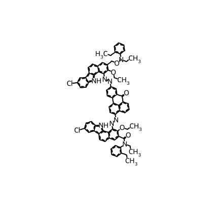 CCOc1c(CON(CC)c2ccccc2CC)cc2ccc3c4cc(Cl)ccc4[nH]c3c2c1N=Nc1ccc2c(c1)C(=O)c1cccc3c(N=Nc4c(OCC)c(C(=O)N(CC)c5ccccc5CC)cc5ccc6c7cc(Cl)ccc7[nH]c6c45)ccc-2c13